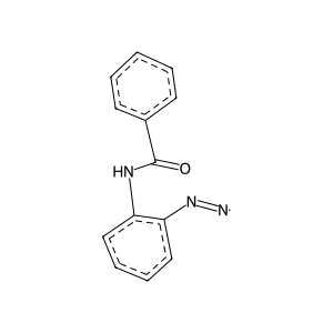 [N]=Nc1ccccc1NC(=O)c1ccccc1